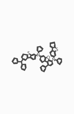 c1ccc(-c2ccc(N(c3ccccc3)c3ccc4c(c3)sc3ccccc34)c3oc4cc(N(c5ccccc5)c5ccc6c(c5)sc5ccc(C(c7ccccc7)c7ccccc7)cc56)ccc4c23)cc1